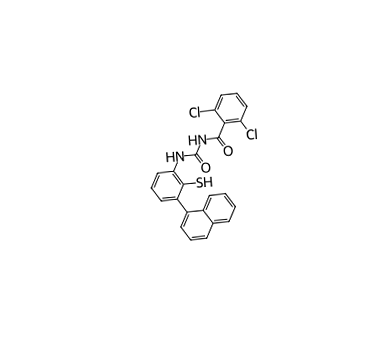 O=C(NC(=O)c1c(Cl)cccc1Cl)Nc1cccc(-c2cccc3ccccc23)c1S